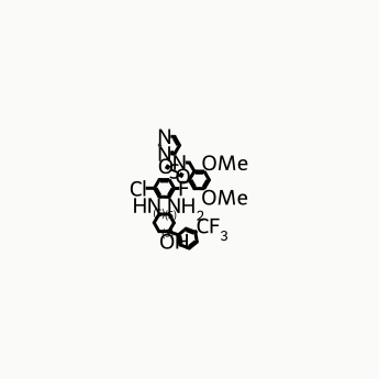 COc1ccc(CN(c2ccncn2)S(=O)(=O)c2cc(Cl)c(N[C@H]3CC[C@@](O)(c4cccc(C(F)(F)F)c4)C[C@@H]3N)cc2F)c(OC)c1